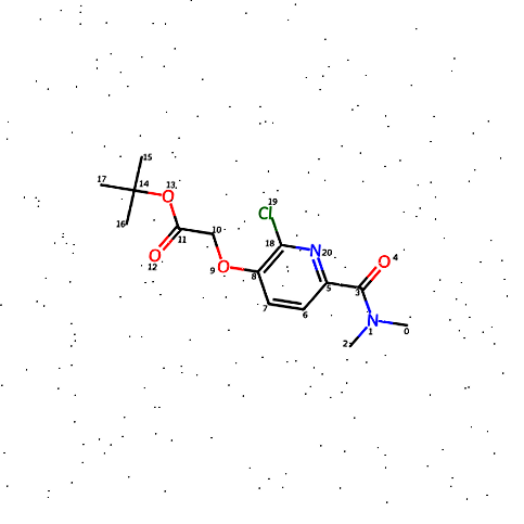 CN(C)C(=O)c1ccc(OCC(=O)OC(C)(C)C)c(Cl)n1